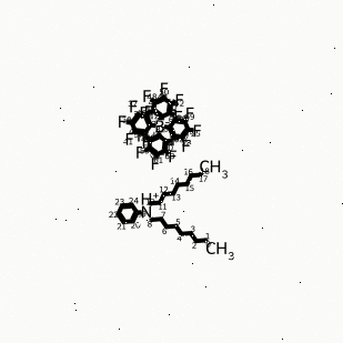 CCCCCCCCC[NH+](CCCCCCCCC)c1ccccc1.Fc1c(F)c(F)c([B-](c2c(F)c(F)c(F)c(F)c2F)(c2c(F)c(F)c(F)c(F)c2F)c2c(F)c(F)c(F)c(F)c2F)c(F)c1F